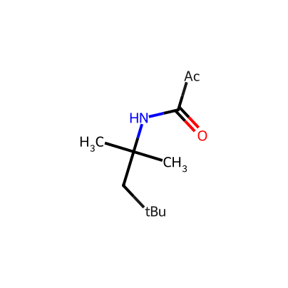 CC(=O)C(=O)NC(C)(C)CC(C)(C)C